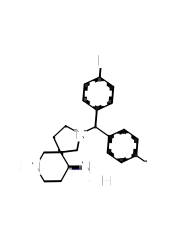 O/N=C1\CCNCC12CCN(C(c1ccc(F)cc1)c1ccc(F)cc1)C2